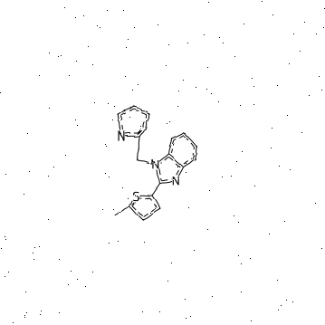 Cc1ccc(-c2nc3ccccc3n2Cc2ccccn2)s1